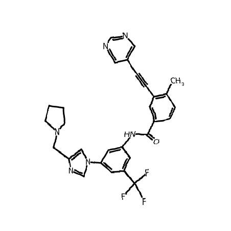 Cc1ccc(C(=O)Nc2cc(-n3cnc(CN4CCCC4)c3)cc(C(F)(F)F)c2)cc1C#Cc1cncnc1